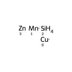 [Cu].[Mn].[SiH4].[Zn]